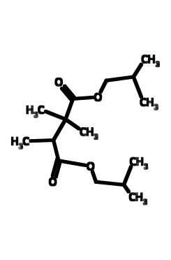 CC(C)COC(=O)C(C)C(C)(C)C(=O)OCC(C)C